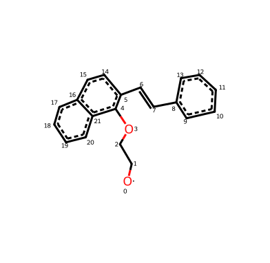 [O]CCOc1c(C=Cc2ccccc2)ccc2ccccc12